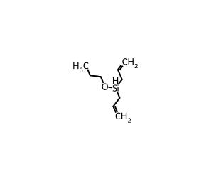 C=CC[SiH](CC=C)OCCC